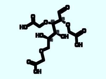 O=C[C@H](OCC(=O)O)[C@@H](OCC(=O)O)[C@H](O)[C@H](O)COCC(=O)O